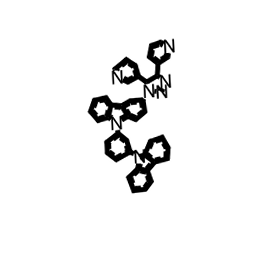 c1cncc(C2N=NN(c3ccc4c(c3)c3ccccc3n4-c3cccc(-n4c5ccccc5c5ccccc54)c3)C2c2cccnc2)c1